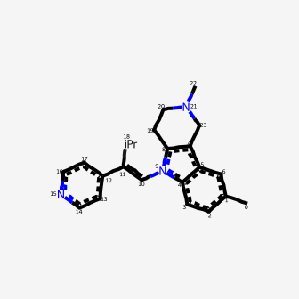 Cc1ccc2c(c1)c1c(n2C=C(c2ccncc2)C(C)C)CCN(C)C1